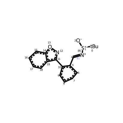 CC(C)(C)[S@+]([O-])/N=C/c1ccccc1-c1noc2ccccc12